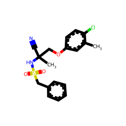 Cc1cc(OCC(C)(C#N)NS(=O)(=O)Cc2ccccc2)ccc1Cl